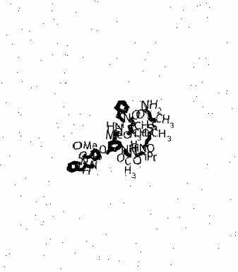 C=C(/C=C(\C)OC)C(=O)N1c2ccccc2C[C@H]1CNOCc1cc(COc2cc3c(cc2OC)C(=O)N2c4ccccc4C[C@H]2C=N3)cc(NC(=O)[C@H](C)NC(=O)[C@@H](NC(=O)CCC(C)(C)SSC(C)CCC(N)=O)C(C)C)c1